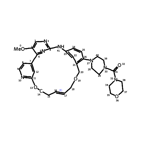 COc1cnc2nc1-c1ccnc(c1)OCC/C=C/COCc1cc(ccc1N1CCN(C(=O)N3CCOCC3)CC1)N2